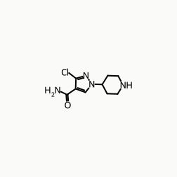 NC(=O)c1cn(C2CCNCC2)nc1Cl